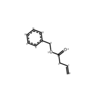 C=C[CH]C(=O)OCc1ccccc1